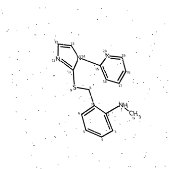 CNc1ccccc1CSc1nccn1-c1ccccn1